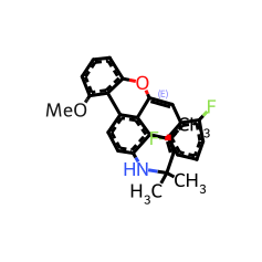 COc1cccc2c1-c1ccc3c(c1/C(=C\c1c(F)cccc1F)O2)C(C)=CC(C)(C)N3